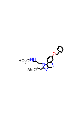 COCCc1nc2cnc3cc(OCc4ccccc4)ccc3c2n1CCCCNC(=O)O